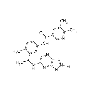 CCn1cc2ncc(N[C@@H](C)c3cc(NC(=O)c4cnc(C)c(C)c4)ccc3C)nc2n1